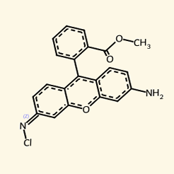 COC(=O)c1ccccc1-c1c2cc/c(=N/Cl)cc-2oc2cc(N)ccc12